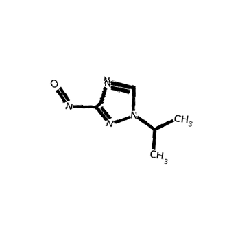 CC(C)n1cnc(N=O)n1